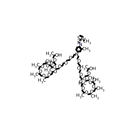 Cc1cc(N(CCOCCOCCOCCOCCOCC(C)OCC(C)OCC(C)OCC(C)OCC(C)OCC(C)OCC(C)O)CCOCCOCCOCCOCCOCC(C)OCC(C)OCC(C)OCC(C)OCC(C)OCC(C)OCC(C)O)ccc1/N=N/c1scc[n+]1C